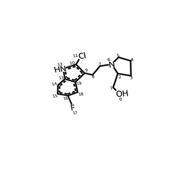 OCC1CCCN1CCc1c(Cl)[nH]c2ccc(F)cc12